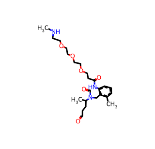 CNCCOCCOCCOCCC(=O)Nc1cccc(C)c1CN(C=O)C(C)CCC=O